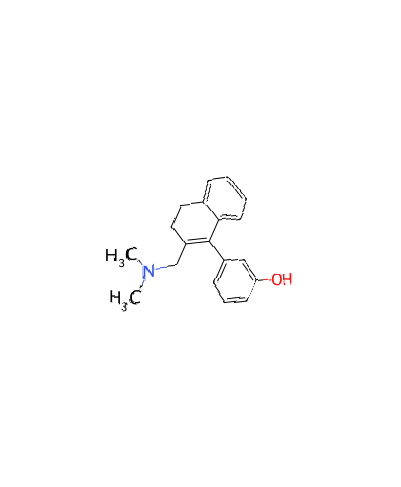 CN(C)CC1=C(c2cccc(O)c2)c2ccccc2CC1